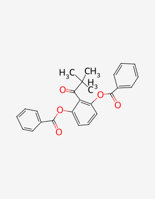 CC(C)(C)C(=O)c1c(OC(=O)c2ccccc2)cccc1OC(=O)c1ccccc1